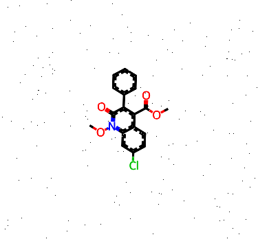 COC(=O)c1c(-c2ccccc2)c(=O)n(OC)c2cc(Cl)ccc12